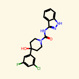 O=C(Nc1n[nH]c2ccccc12)N1CCC(O)(c2cc(F)cc(Cl)c2)CC1